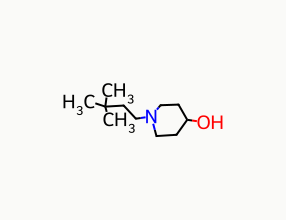 CC(C)(C)CCN1CCC(O)CC1